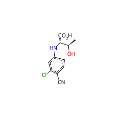 C[C@@H](O)[C@@H](Nc1ccc(C#N)c(Cl)c1)C(=O)O